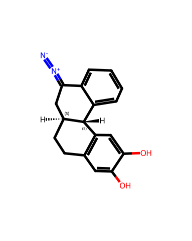 [N-]=[N+]=C1C[C@@H]2CCc3cc(O)c(O)cc3[C@H]2c2ccccc21